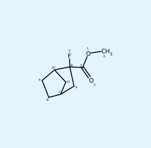 COC(=O)C1(F)CC2CCC1C2